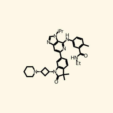 CCNC(=O)c1cc(Nc2nc(-c3ccc4c(c3)N([C@H]3C[C@@H](N5CCCCC5)C3)C(=O)C4(C)C)cc3ncn(C(C)C)c23)ccc1C